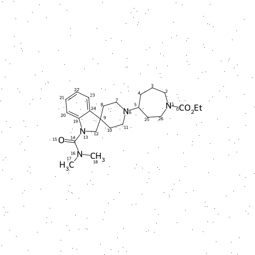 CCOC(=O)N1CCCC(N2CCC3(CC2)CN(C(=O)N(C)C)c2ccccc23)CC1